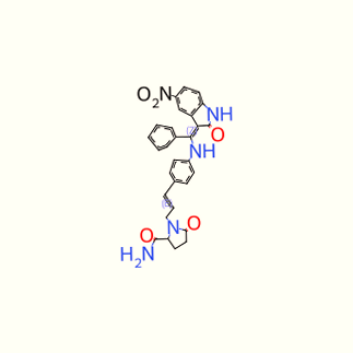 NC(=O)C1CCC(=O)N1C/C=C/c1ccc(N/C(=C2\C(=O)Nc3ccc([N+](=O)[O-])cc32)c2ccccc2)cc1